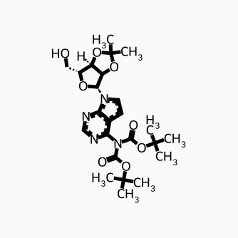 CC(C)(C)OC(=O)N(C(=O)OC(C)(C)C)c1ncnc2c1ccn2[C@@H]1O[C@H](CO)[C@H]2OC(C)(C)OC12